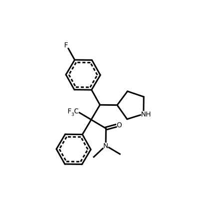 CN(C)C(=O)C(c1ccccc1)(C(c1ccc(F)cc1)C1CCNC1)C(F)(F)F